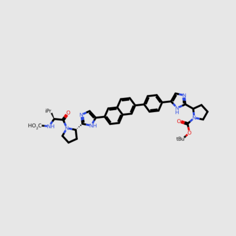 CC(C)[C@H](NC(=O)O)C(=O)N1CCC[C@H]1c1ncc(-c2ccc3cc(-c4ccc(-c5cnc(C6CCCN6C(=O)OC(C)(C)C)[nH]5)cc4)ccc3c2)[nH]1